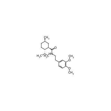 COc1ccc(CCNC(=O)[C@@H]2C[C@H](C)CC[C@H]2C(C)C)cc1OC